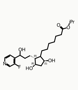 CC(C)OC(=O)CCCCCCC1[C@@H](CCC(O)c2ccncc2F)[C@H](O)C[C@@H]1O